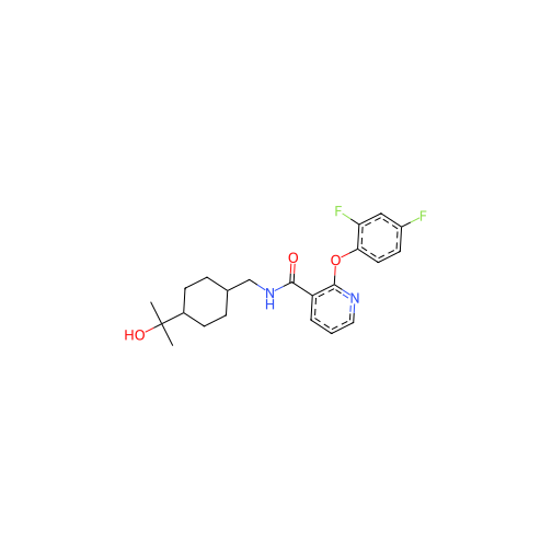 CC(C)(O)C1CCC(CNC(=O)c2cccnc2Oc2ccc(F)cc2F)CC1